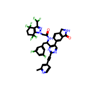 Cc1cc(C#Cc2ncc(-c3ccc4c(c3)C(=O)NC4)c(C(Cc3cc(F)cc(F)c3)NC(=O)Cn3nc(C(F)F)c4c3C(F)(F)CCC4(F)F)n2)ccn1